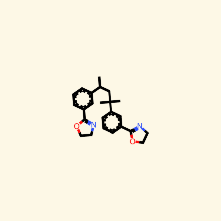 CC(CC(C)(C)c1cccc(C2=NCCO2)c1)c1cccc(C2=NCCO2)c1